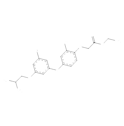 CCOC(=O)COc1ccc(Sc2cc(Br)cc(OCC(C)C)c2)cc1C